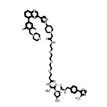 Cc1ncsc1-c1ccc(CNC(=O)[C@@H]2C[C@@H](O)CN2C(=O)[C@@H](NC(=O)CCOCCOCCOCCNC(=O)CN2CCC(n3cc(-c4cnc5cccc(-c6cc(F)c(CN7CCOCC7)c(F)c6)c5n4)cn3)CC2)C(C)(C)C)cc1